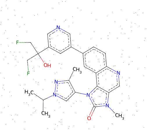 Cc1nn(C(C)C)cc1-n1c(=O)n(C)c2cnc3ccc(-c4cncc(C(O)(CF)CF)c4)cc3c21